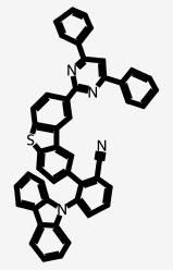 N#Cc1cccc(-n2c3ccccc3c3ccccc32)c1-c1ccc2sc3ccc(-c4nc(-c5ccccc5)cc(-c5ccccc5)n4)cc3c2c1